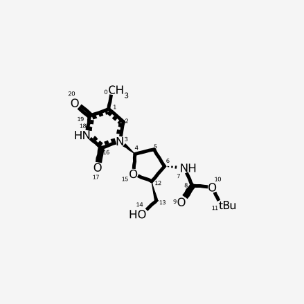 Cc1cn([C@H]2C[C@H](NC(=O)OC(C)(C)C)[C@@H](CO)O2)c(=O)[nH]c1=O